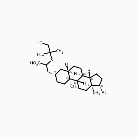 CC(=O)[C@H]1CC[C@H]2[C@@H]3CC[C@H]4C[C@@H](CC(SC(C)(C)CO)C(=O)O)CC[C@]4(C)[C@H]3CC[C@]12C